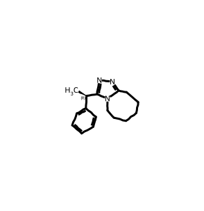 C[C@H](c1ccccc1)c1nnc2n1CCCCCC2